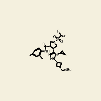 Cc1ccc(NC(=O)[C@H]2CN(S(=O)(=O)C(F)F)C[C@@H]2c2nnc([C@H]3C[C@@H](CC(C)(C)C)C3)n2C2CC2)c(C)c1